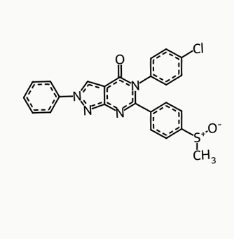 C[S+]([O-])c1ccc(-c2nc3nn(-c4ccccc4)cc3c(=O)n2-c2ccc(Cl)cc2)cc1